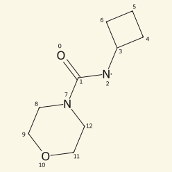 O=C([N]C1CCC1)N1CCOCC1